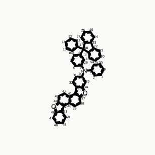 c1ccc(N(c2cccc(C3(c4ccccc4)c4ccccc4-c4ccccc43)c2)c2ccc3c(c2)oc2ccc4c(ccc5oc6ccccc6c54)c23)cc1